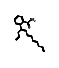 C=CCC=CC=CC=C(CC=C)c1ccccc1C(N)=O